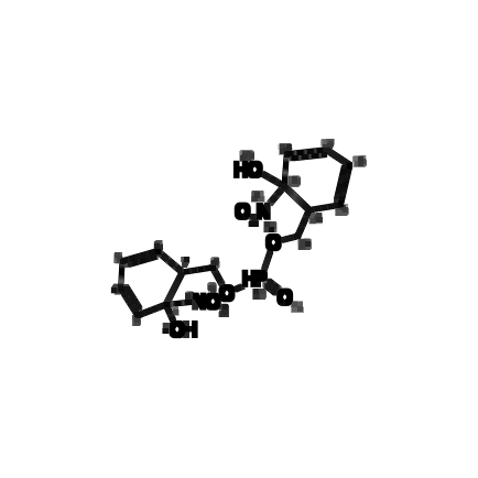 O=[N+]([O-])C1(O)C=CC=CC1CO[PH](=O)OCC1C=CC=CC1(O)[N+](=O)[O-]